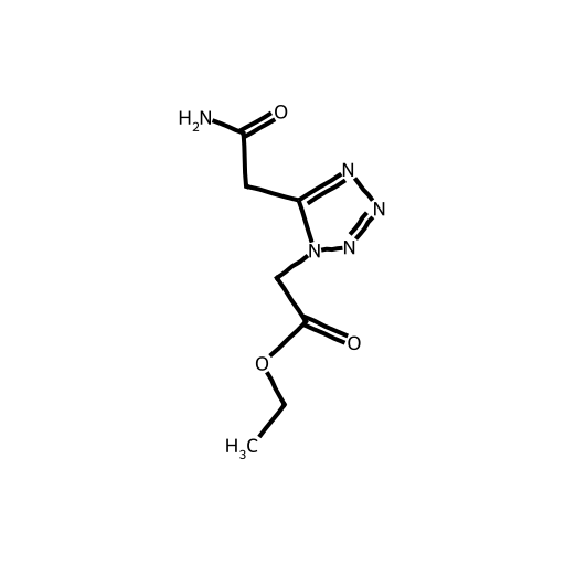 CCOC(=O)Cn1nnnc1CC(N)=O